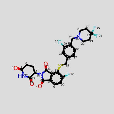 O=C1CCC(N2C(=O)c3ccc(F)c(SCc4ccc(CN5CCC(F)(F)CC5)c(F)c4)c3C2=O)C(=O)N1